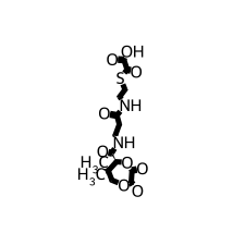 CC1(C)COC(=O)C(=O)O[C@H]1C(=O)NCCC(=O)NCCSC(=O)C(=O)O